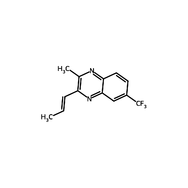 C/C=C/c1nc2cc(C(F)(F)F)ccc2nc1C